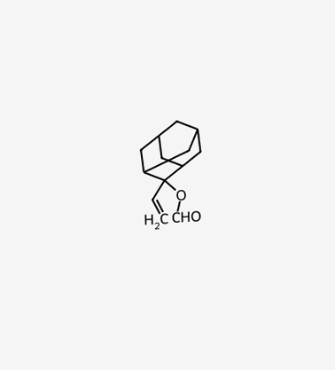 C=CC1(OC=O)C2CC3CC(C2)CC1C3